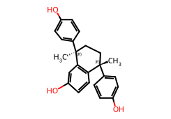 C[C@]1(c2ccc(O)cc2)CC[C@](C)(c2ccc(O)cc2)c2cc(O)ccc21